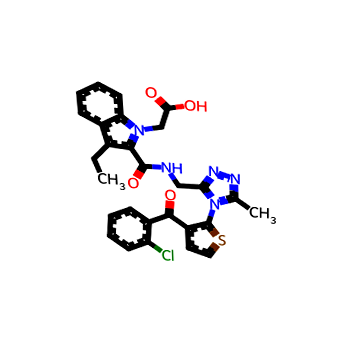 CCc1c(C(=O)NCc2nnc(C)n2-c2sccc2C(=O)c2ccccc2Cl)n(CC(=O)O)c2ccccc12